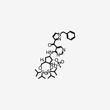 CC(C)[Si]1(C(C)C)OC[C@H]2C[C@@H](Nc3ncncc3C(=O)c3ccn(Cc4ccccc4)n3)[C@H](OS(C)(=O)=O)[C@@H]2O[Si](C(C)C)(C(C)C)O1